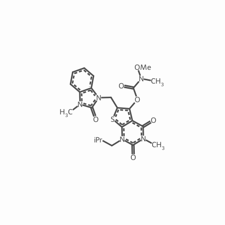 CON(C)C(=O)Oc1c(Cn2c(=O)n(C)c3ccccc32)sc2c1c(=O)n(C)c(=O)n2CC(C)C